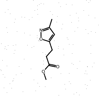 COC(=O)CCc1cc(C)no1